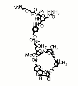 C=C1C2C[C@@H]3O[C@H](CC(O)CNC(=O)OCc4ccc(NC(=O)C(CCCNC(N)=O)NC(=O)[C@@H](NC(=O)CCOCCN=[N+]=[N-])C(C)C)cc4)[C@H](OC)C3CC(=O)CC3CC[C@@H]4O[C@@H]5CC(O[C@@]6(CCC7CC(=C)[C@H](CC[C@@H](C[C@H]1C)O2)O7)C[C@@H](O)C5O6)[C@H]4O3